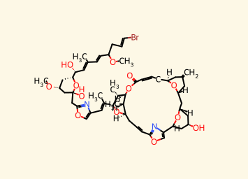 C=C1C[C@@H]2C[C@@H]3C[C@@H](O)C[C@@H](O3)c3coc(n3)/C=C/C[C@H]3O[C@@H](/C(C)=C/c4coc(C[C@]5(O)C[C@H](OC)C[C@H]([C@H](O)/C=C(C)/C=C/C(C/C=C/Br)OC)O5)n4)[C@H](C)[C@@H](OC(=O)/C=C\C[C@@H](C1)O2)[C@H]3C